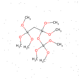 CO[Si](C[Si](OC)(OC)O[Si](OC)(OC)OC)(OC)OC